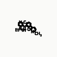 CCN(c1ccccc1Nc1c(C)ccc2c1oc1nc(C)ccc12)C(C)C